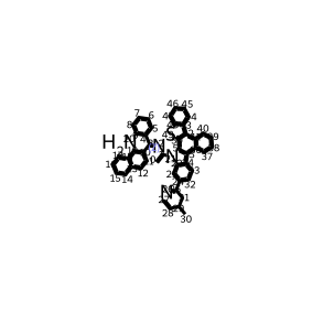 C=C(/N=C(/c1ccccc1)c1ccc2ccccc2c1N)n1c2cc(C3=NC=CC(C)C3)ccc2c2c3ccccc3c3c4ccccc4sc3c21